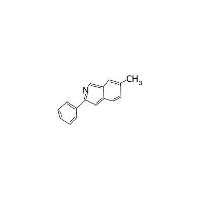 Cc1ccc2cc(-c3ccccc3)ncc2c1